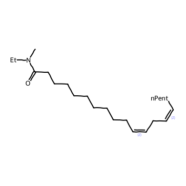 CCCCC/C=C\C/C=C\CCCCCCCCCC(=O)N(C)CC